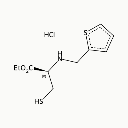 CCOC(=O)[C@H](CS)NCc1cccs1.Cl